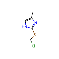 Cc1c[nH]c(SCCl)n1